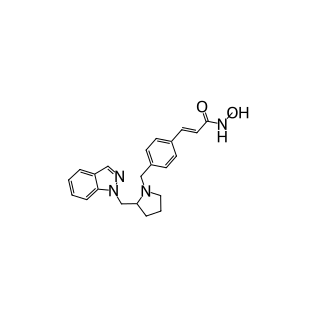 O=C(C=Cc1ccc(CN2CCCC2Cn2ncc3ccccc32)cc1)NO